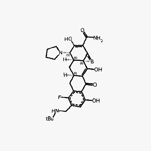 CC(C)(C)NCc1cc(O)c2c(c1F)C[C@H]1C[C@H]3[C@H](N4CCCC4)C(O)=C(C(N)=O)C4=B[C@@]43C(O)=C1C2=O